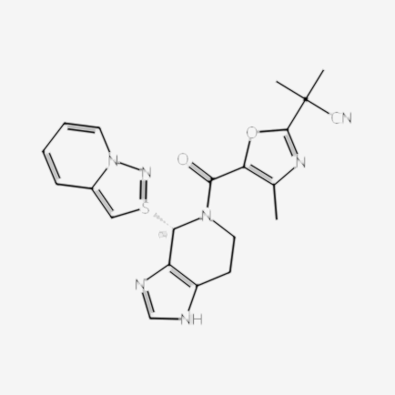 Cc1nc(C(C)(C)C#N)oc1C(=O)N1CCc2[nH]cnc2[C@@H]1S1=NN2C=CC=CC2=C1